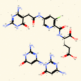 Nc1cc(=O)[nH]c(N)n1.Nc1cc(=O)[nH]c(N)n1.Nc1nc(N)c(CC(=O)Nc2cnc(C(=O)N[C@@H](CCC(=O)O)C(=O)O)c(F)c2)c(=O)[nH]1